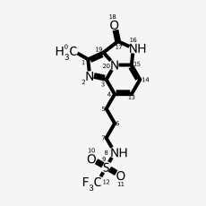 Cc1nc2c(CCCNS(=O)(=O)C(F)(F)F)ccc3[nH]c(=O)c1n32